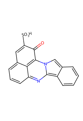 O=c1c(S(=O)(=O)O)cc2cccc3nc4c5ccccc5cn4c1c23